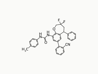 Cc1ccc(NC(=O)Nc2cc(-c3ccccc3C#N)cc3c2OCC(F)(F)CC3c2ccccc2)cc1